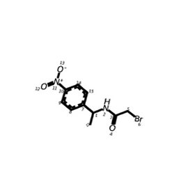 CC(NC(=O)CBr)c1ccc([N+](=O)[O-])cc1